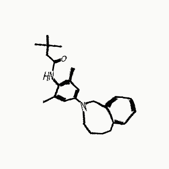 Cc1cc(N2CCCCc3ccccc3C2)cc(C)c1NC(=O)CC(C)(C)C